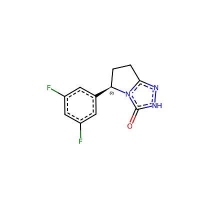 O=c1[nH]nc2n1[C@@H](c1cc(F)cc(F)c1)CC2